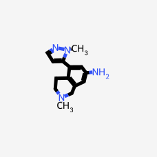 CN1CCc2c(cc(N)cc2-c2ccnn2C)C1